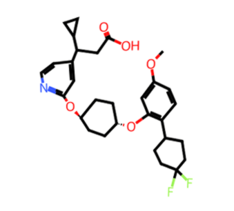 COc1ccc(C2CCC(F)(F)CC2)c(O[C@H]2CC[C@H](Oc3cc(C(CC(=O)O)C4CC4)ccn3)CC2)c1